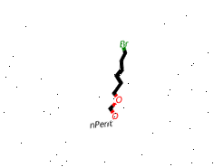 CCCCCOCOCC/C=C/CCBr